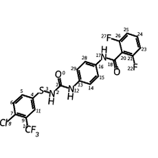 O=C(NSc1ccc(Cl)c(C(F)(F)F)c1)Nc1ccc(NC(=O)c2c(F)cccc2F)cc1